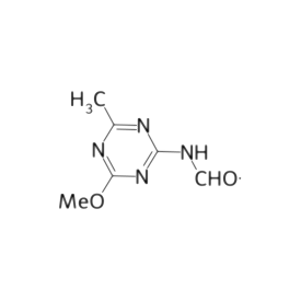 COc1nc(C)nc(N[C]=O)n1